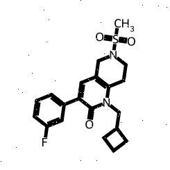 CS(=O)(=O)N1CCc2c(cc(-c3cccc(F)c3)c(=O)n2CC2CCC2)C1